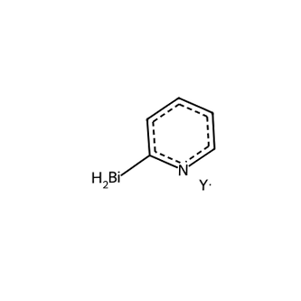 [BiH2][c]1ccccn1.[Y]